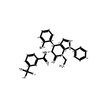 CCN1C(=O)[C@H](NC(=O)c2cccc(C(F)(F)F)c2)[C@@H](c2ccccc2Br)c2cnn(-c3ccccc3)c21